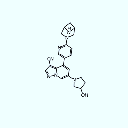 N#Cc1cnn2cc(N3CCC(O)C3)cc(-c3ccc(N4CC5CC(C4)N5)nc3)c12